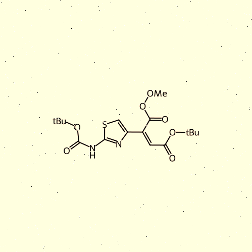 COOC(=O)C(=CC(=O)OC(C)(C)C)c1csc(NC(=O)OC(C)(C)C)n1